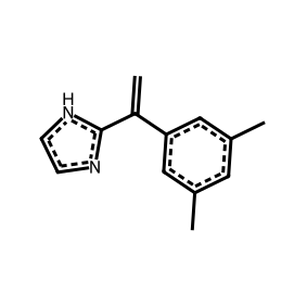 C=C(c1cc(C)cc(C)c1)c1ncc[nH]1